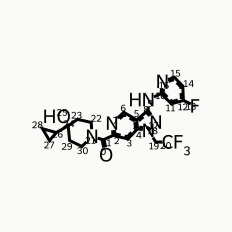 O=C(c1cc2c(cn1)c(Nc1cc(F)ccn1)nn2CC(F)(F)F)N1CCC(O)(C2CC2)CC1